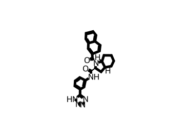 O=C(Nc1cccc(-c2nnn[nH]2)c1)[C@@H]1C[C@H]2CCCC[C@H]2N1C(=O)c1ccc2ccccc2c1